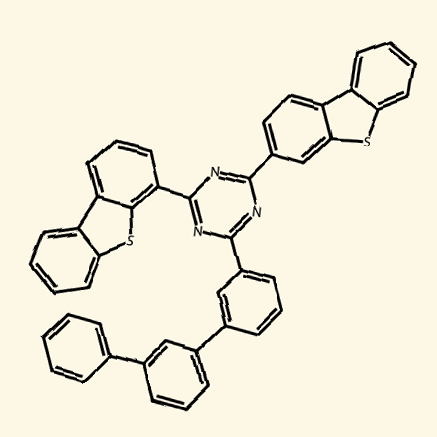 c1ccc(-c2cccc(-c3cccc(-c4nc(-c5ccc6c(c5)sc5ccccc56)nc(-c5cccc6c5sc5ccccc56)n4)c3)c2)cc1